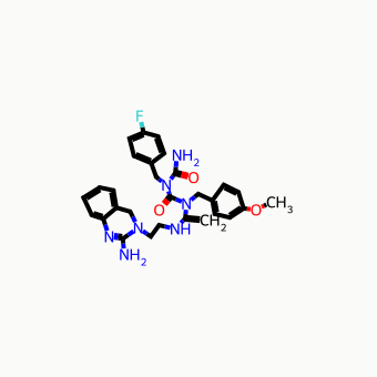 C=C(NCCN1Cc2ccccc2N=C1N)N(Cc1ccc(OC)cc1)C(=O)N(Cc1ccc(F)cc1)C(N)=O